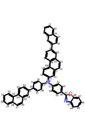 c1ccc2cc(-c3ccc4c(ccc5cc(N(c6ccc(-c7ccc8c(ccc9ccccc98)c7)cc6)c6ccc(-c7nc8ccccc8o7)cc6)ccc54)c3)ccc2c1